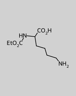 CCOC(=O)NC(CCCCN)C(=O)O